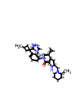 CC1CC(c2cccc(-n3cc(C4CC4)c4cc(CN5CCCC[C@@H]5C)[nH]c4c3=O)c2)(c2nncn2C)C1